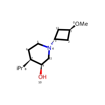 CO[C@H]1C[C@H](N2CC[C@H](C(C)C)[C@H](O)C2)C1